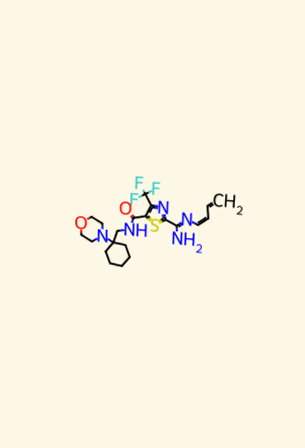 C=C/C=C\N=C(/N)c1nc(C(F)(F)F)c(C(=O)NCC2(N3CCOCC3)CCCCC2)s1